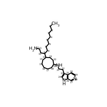 CCCCCCCCCC(CCN)C1CCCCCC(NCCc2c[nH]c3cnccc23)CC1